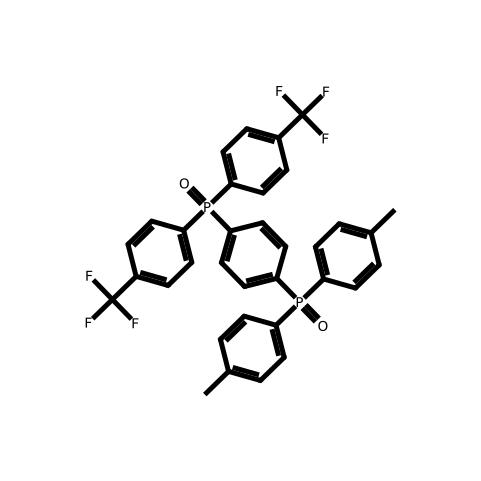 Cc1ccc(P(=O)(c2ccc(C)cc2)c2ccc(P(=O)(c3ccc(C(F)(F)F)cc3)c3ccc(C(F)(F)F)cc3)cc2)cc1